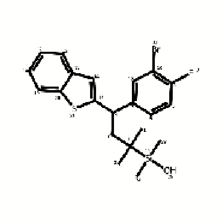 CC(C)(CC(c1ccc(F)c(Br)c1)c1cc2ccccc2s1)[Si](C)(C)O